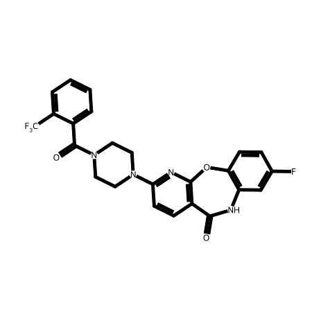 O=C1Nc2cc(F)ccc2Oc2nc(N3CCN(C(=O)c4ccccc4C(F)(F)F)CC3)ccc21